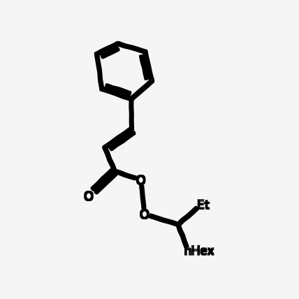 CCCCCCC(CC)OOC(=O)C=Cc1ccccc1